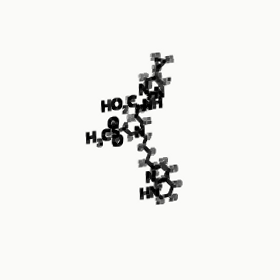 CS(=O)(=O)CCN(CCCCc1ccc2c(n1)NCCC2)CC[C@H](Nc1ncc(C2CC2)cn1)C(=O)O